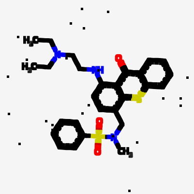 CCN(CC)CCNc1ccc(CN(C)S(=O)(=O)c2ccccc2)c2sc3ccccc3c(=O)c12